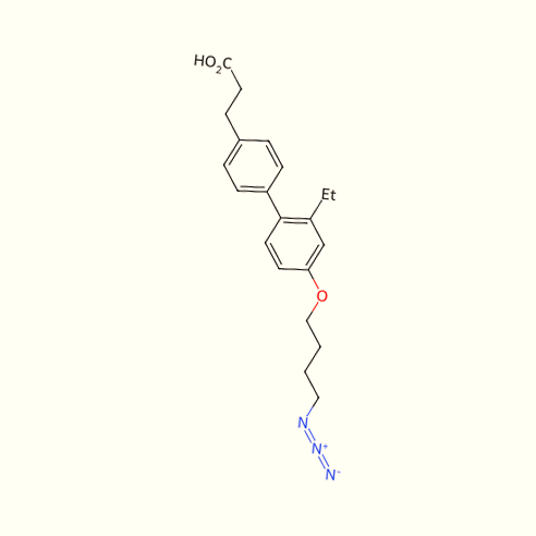 CCc1cc(OCCCCN=[N+]=[N-])ccc1-c1ccc(CCC(=O)O)cc1